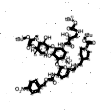 CN(C(=O)OC(C)(C)C)[C@@H]1[C@@H](O)[C@@H](O[C@@H]2[C@@H](O)[C@H](O[C@H]3OC(CNCC4CCN(C(=O)OC(C)(C)C)CC4)=CC[C@H]3NC(=O)OCc3ccc([N+](=O)[O-])cc3)[C@@H](N)C[C@H]2NC(=O)[C@@H](O)CNC(=O)OC(C)(C)C)OC[C@]1(C)O